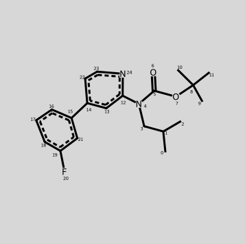 CC(C)CN(C(=O)OC(C)(C)C)c1cc(-c2[c]ccc(F)c2)ccn1